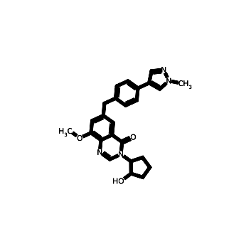 COc1cc(Cc2ccc(-c3cnn(C)c3)cc2)cc2c(=O)n(C3CCCC3O)cnc12